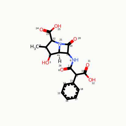 CC1C(O)[C@@H]2C(NC(=O)C(C(=O)O)c3ccccc3)C(=O)N2C1C(=O)O